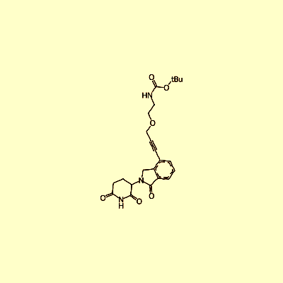 CC(C)(C)OC(=O)NCCOCC#Cc1cccc2c1CN(C1CCC(=O)NC1=O)C2=O